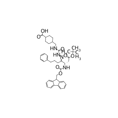 CC(C)(C)OC(=O)C[C@H](NC(=O)OCC1c2ccccc2-c2ccccc21)/C(CCCc1ccccc1)=N/NC(=O)NCC1CCC(C(=O)O)CC1